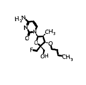 CCCCO[C@H]1[C@H](C)[C@H](n2ccc(N)nc2=O)O[C@@]1(CO)CF